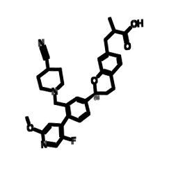 COc1cc(-c2ccc([C@@H]3CCc4ccc(CC(C)C(=O)O)cc4O3)cc2CN2CCC(C#N)CC2)c(F)cn1